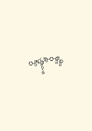 CCCN(OC(=O)c1ccccc1)[C@@H](C)c1nc(-c2ncc(-c3ccc(-c4cnc([C@@H]5CCCN5)[nH]4)cc3)o2)cn1COCC[Si](C)(C)C